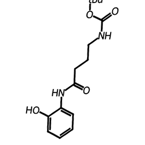 CC(C)(C)OC(=O)NCCCC(=O)Nc1ccccc1O